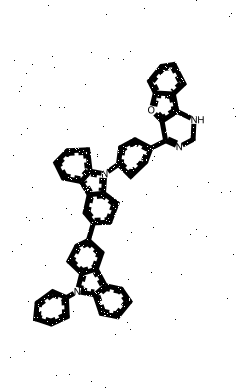 c1ccc(-n2c3ccccc3c3cc(-c4ccc5c(c4)c4ccccc4n5-c4ccc(C5=NCNc6c5oc5ccccc65)cc4)ccc32)cc1